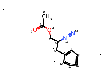 CC(=O)OCC(Cc1ccccc1)[N+]#N